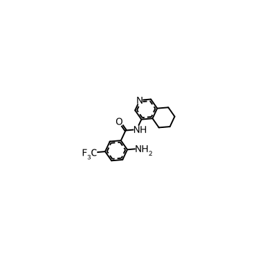 Nc1ccc(C(F)(F)F)cc1C(=O)Nc1cncc2c1CCCC2